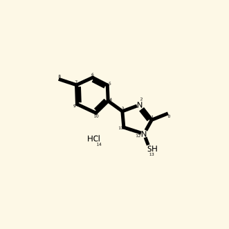 CC1=NC(c2ccc(C)cc2)CN1S.Cl